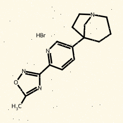 Br.Cc1nc(-c2ccc(C34CCCN(CC3)C4)cn2)no1